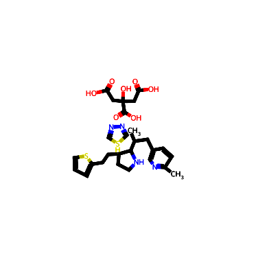 Cc1ccc(CC(C)C2NCCC2(CCc2cccs2)[SH]2C=NN=C2)cn1.O=C(O)CC(O)(CC(=O)O)C(=O)O